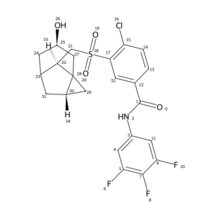 O=C(Nc1cc(F)c(F)c(F)c1)c1ccc(Cl)c(S(=O)(=O)C[C@@H]2C3C[C@@H](O)CC24C[C@@H]4C3)c1